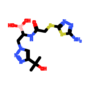 CC(C)(O)c1cn(CC(NC(=O)CSc2nnc(N)s2)B(O)O)nn1